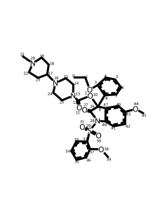 CCOc1ccccc1C1(OC(=O)N2CCN(C3CCN(C)CC3)CC2)C(=O)N(S(=O)(=O)c2ccccc2OC)c2ccc(OC)cc21